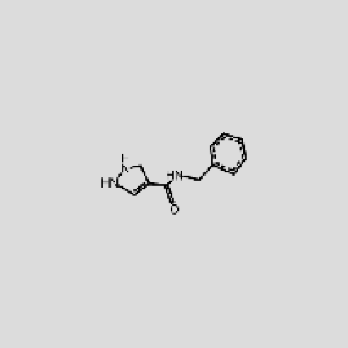 O=C(NCc1ccccc1)C1=CNNC1